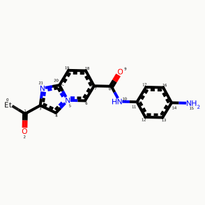 CCC(=O)c1cn2cc(C(=O)Nc3ccc(N)cc3)ccc2n1